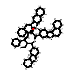 CCC1/C(c2ccccc2)=C/CC(C)/C(c2cc3oc4ccc5ccccc5c4c3cc2-n2c3cc4ccccc4cc3c3cc4ccccc4cc32)=N\C1c1ccc2oc3ccccc3c2c1